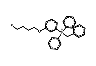 FCCCCOc1cccc([PH](Cc2ccccc2)(c2ccccc2)c2ccccc2)c1